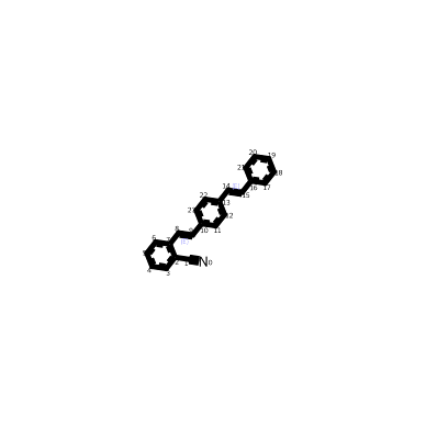 N#Cc1ccccc1/C=C/c1ccc(/C=C/c2ccccc2)cc1